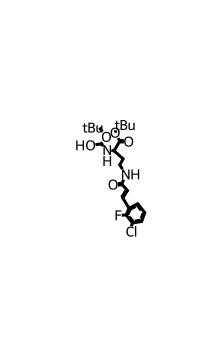 CC(C)(C)OC(=O)C(CCNC(=O)/C=C/c1cccc(Cl)c1F)NC(O)OC(C)(C)C